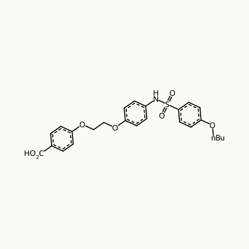 CCCCOc1ccc(S(=O)(=O)Nc2ccc(OCCOc3ccc(C(=O)O)cc3)cc2)cc1